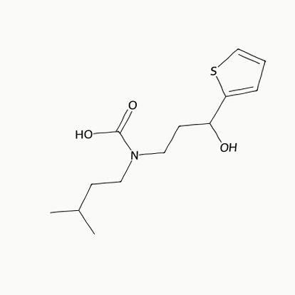 CC(C)CCN(CCC(O)c1cccs1)C(=O)O